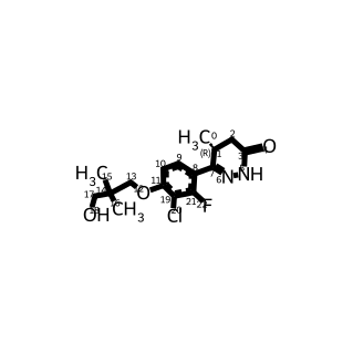 C[C@@H]1CC(=O)NN=C1c1ccc(OCC(C)(C)CO)c(Cl)c1F